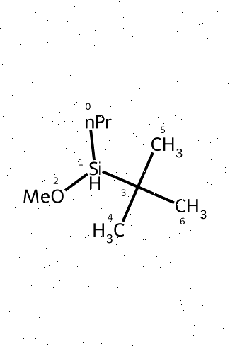 CCC[SiH](OC)C(C)(C)C